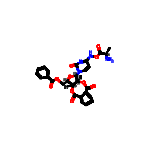 C[C@@H](N)C(=O)ONc1ccn([C@@H]2O[C@H](COC(=O)c3ccccc3)[C@H]3OC(=O)c4ccccc4C(=O)O[C@H]32)c(=O)n1